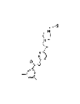 Cc1cc(C)cc(C(=O)Oc2ccc(C(C)CN3CCN(CC4CC4)CC3)cc2)c1